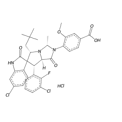 COc1cc(C(=O)O)ccc1N1C(=O)[C@H]2[C@H](c3cccc(Cl)c3F)C3(C(=O)Nc4cc(Cl)ccc43)[C@H](CC(C)(C)C)N2[C@@H]1C.Cl